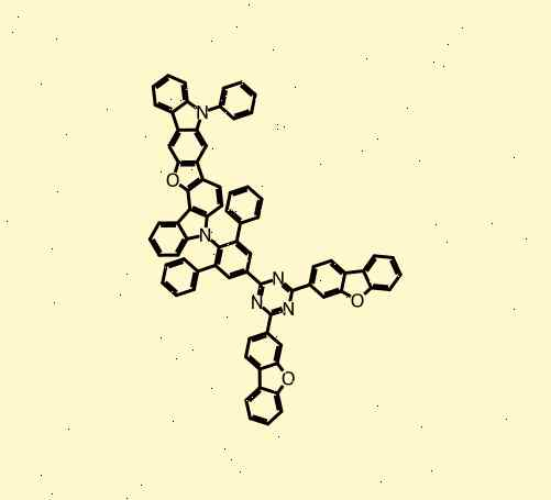 c1ccc(-c2cc(-c3nc(-c4ccc5c(c4)oc4ccccc45)nc(-c4ccc5c(c4)oc4ccccc45)n3)cc(-c3ccccc3)c2-n2c3ccccc3c3c4oc5cc6c7ccccc7n(-c7ccccc7)c6cc5c4ccc32)cc1